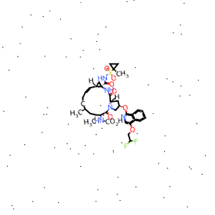 C[C@H]1CC/C=C\[C@@H]2C[C@@]2(C(=O)NS(=O)(=O)C2(C)CC2)NC(=O)[C@@H]2C[C@@H](Oc3ncc(OCC(F)F)c4ccccc34)CN2C(=O)[C@@H](NC(=O)O)[C@H](C)C1